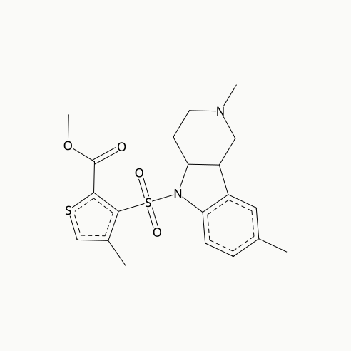 COC(=O)c1scc(C)c1S(=O)(=O)N1c2ccc(C)cc2C2CN(C)CCC21